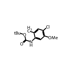 COc1cc(NC(=O)OC(C)(C)C)c(C)cc1Cl